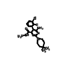 CC1(N)CCN(c2nc(N)c(-c3cccc(Cl)c3Cl)c(C(=O)NN)n2)CC1